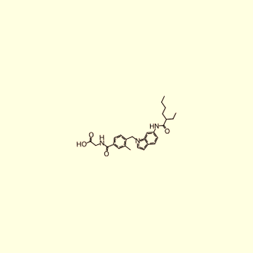 CCCCC(CC)C(=O)Nc1ccc2ccn(Cc3ccc(C(=O)NCC(=O)O)cc3C)c2c1